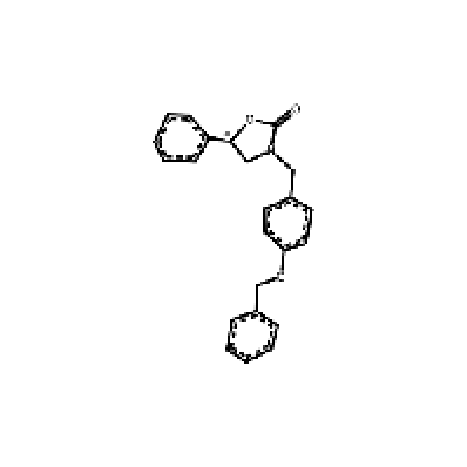 O=C1O[C@H](c2ccccc2)CN1Cc1ccc(OCc2ccccc2)cc1